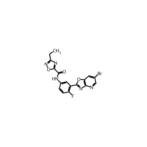 CCc1noc(C(=O)Nc2ccc(F)c(-c3nc4ncc(Br)cc4o3)c2)n1